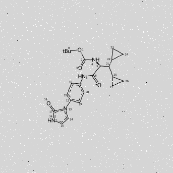 CC(C)(C)OC(=O)N[C@H](C(=O)Nc1ccc(-n2cc[nH]c2=O)cc1)C(C1CC1)C1CC1